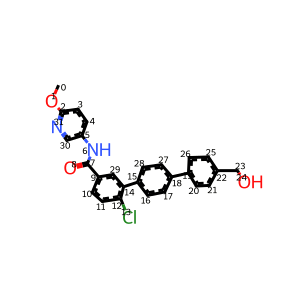 COc1ccc(NC(=O)c2ccc(Cl)c(-c3ccc(-c4ccc(CO)cc4)cc3)c2)cn1